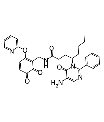 CCCCC(CCC(=O)NCC1=C(Oc2ccccn2)C=CC(=O)C1=O)n1c(-c2ccccc2)ncc(N)c1=O